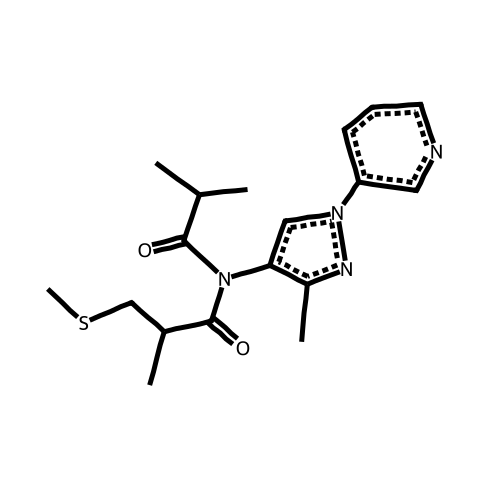 CSCC(C)C(=O)N(C(=O)C(C)C)c1cn(-c2cccnc2)nc1C